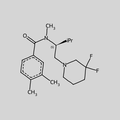 Cc1ccc(C(=O)N(C)[C@H](CN2CCCC(F)(F)C2)C(C)C)cc1C